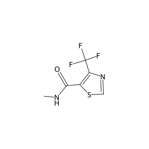 CNC(=O)c1scnc1C(F)(F)F